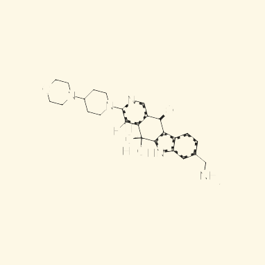 CC1(C)c2[nH]c3cc(CN)ccc3c2C(=O)c2cnc(N3CCC(N4CCOCC4)CC3)c(F)c21